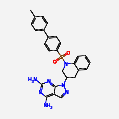 Cc1ccc(-c2ccc(S(=O)(=O)N3CC(n4ncc5c(N)nc(N)nc54)Cc4ccccc43)cc2)cc1